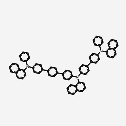 c1ccc(N(c2ccc(-c3ccc(-c4ccc(N(c5ccc(-c6ccc(N(c7ccccc7)c7cccc8ccccc78)cc6)cc5)c5cccc6ccccc56)cc4)cc3)cc2)c2cccc3ccccc23)cc1